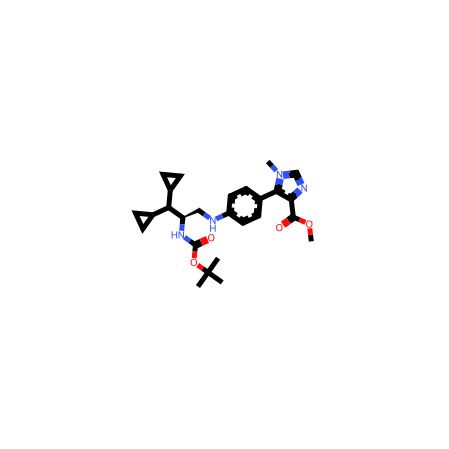 COC(=O)c1ncn(C)c1-c1ccc(NC[C@@H](NC(=O)OC(C)(C)C)C(C2CC2)C2CC2)cc1